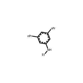 CCCc1cc(CCC)cc(NCC)c1